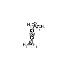 CCOC(=O)C(C)(C)Oc1ccc(S(=O)(=O)c2ccc(N=NN(C)C)cc2)cc1